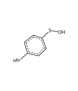 CCCc1ccc(SO)cc1